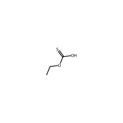 CCOC(O)=S